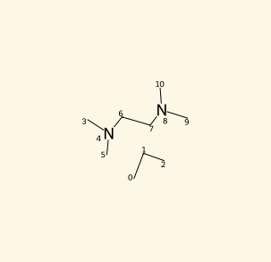 CCC.CN(C)CCN(C)C